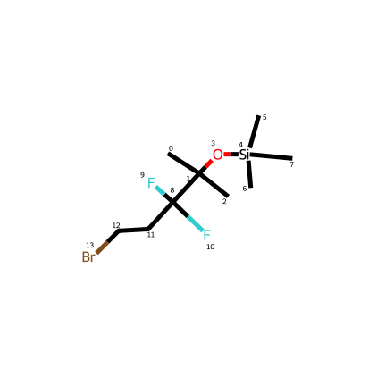 CC(C)(O[Si](C)(C)C)C(F)(F)CCBr